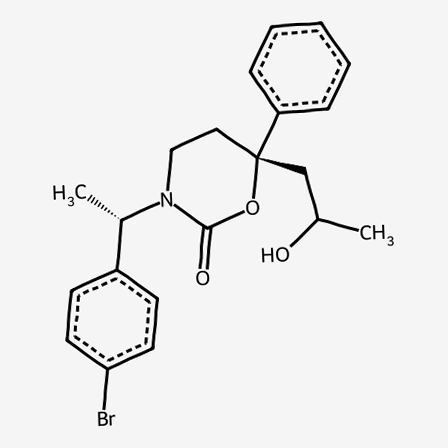 CC(O)C[C@]1(c2ccccc2)CCN([C@@H](C)c2ccc(Br)cc2)C(=O)O1